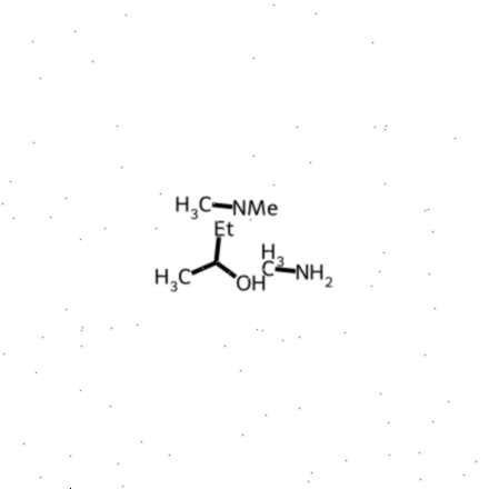 CCC(C)O.CN.CNC